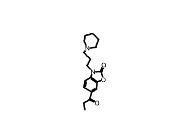 CCC(=O)c1ccc2c(c1)oc(=O)n2CCCN1CCCCC1